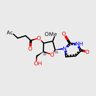 COC1C(OC(=O)CCC(C)=O)[C@H](CO)O[C@@H]1n1ccc(=O)[nH]c1=O